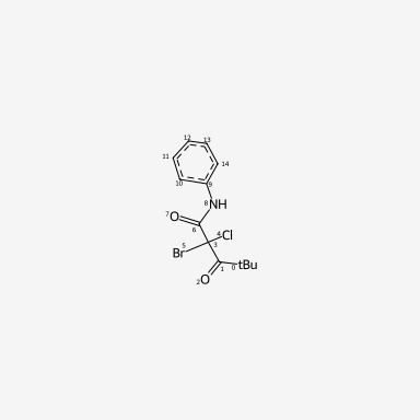 CC(C)(C)C(=O)C(Cl)(Br)C(=O)Nc1ccccc1